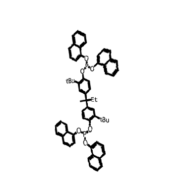 CCC(C)(c1ccc(OP(Oc2cccc3ccccc23)Oc2cccc3ccccc23)c(C(C)(C)C)c1)c1ccc(OP(Oc2cccc3ccccc23)Oc2cccc3ccccc23)c(C(C)(C)C)c1